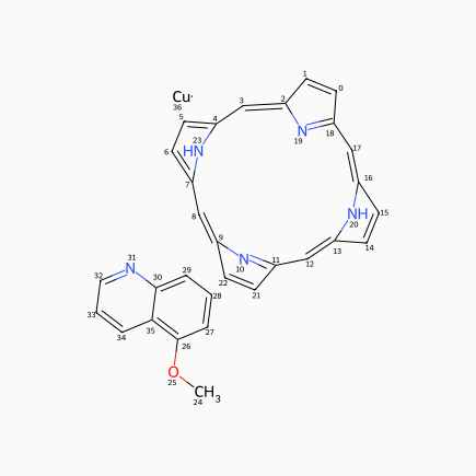 C1=Cc2cc3ccc(cc4nc(cc5ccc(cc1n2)[nH]5)C=C4)[nH]3.COc1cccc2ncccc12.[Cu]